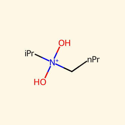 CCCC[N+](O)(O)C(C)C